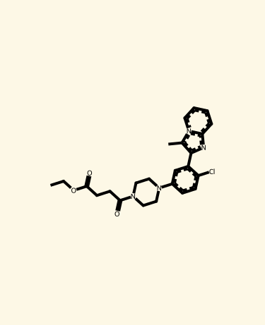 CCOC(=O)CCC(=O)N1CCN(c2ccc(Cl)c(-c3nc4ccccn4c3C)c2)CC1